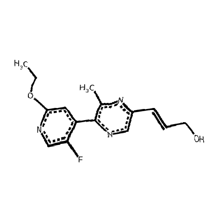 CCOc1cc(-c2ncc(C=CCO)nc2C)c(F)cn1